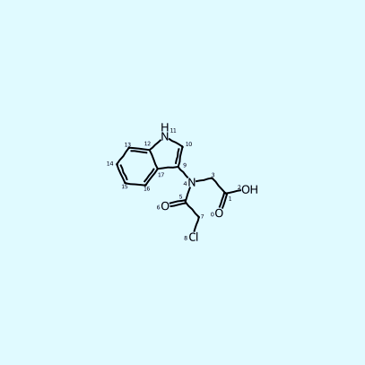 O=C(O)CN(C(=O)CCl)c1c[nH]c2ccccc12